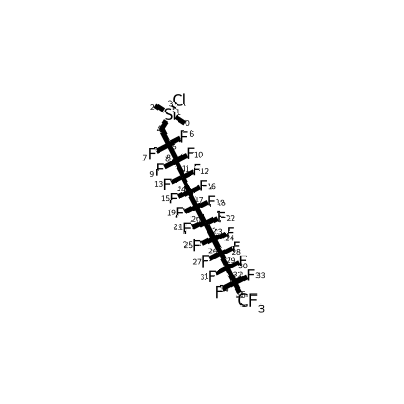 C[Si](C)(Cl)CC(F)(F)C(F)(F)C(F)(F)C(F)(F)C(F)(F)C(F)(F)C(F)(F)C(F)(F)C(F)(F)C(F)(F)C(F)(F)F